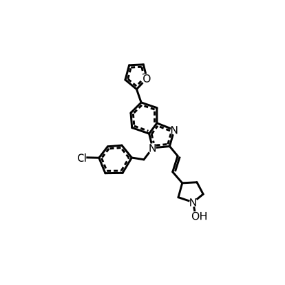 ON1CCC(/C=C/c2nc3cc(-c4ccco4)ccc3n2Cc2ccc(Cl)cc2)C1